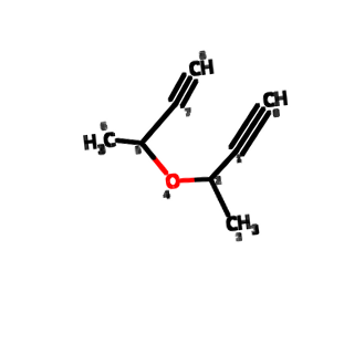 C#CC(C)OC(C)C#C